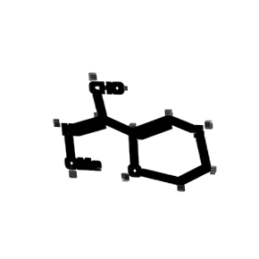 CO/N=C(/[C]=O)C1=CSCCO1